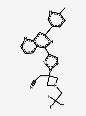 Cc1ccc(-c2cc3ncccc3c(-c3ccn(C4(CC#N)CN(CC(F)(F)F)C4)n3)n2)cn1